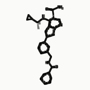 C[C@@H](Nc1c(C(N)=O)cnn2cc(-c3cccc(CNC(=O)c4ccccc4)c3)cc12)C1CC1